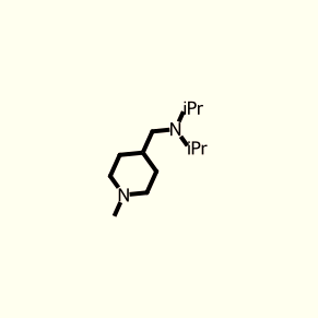 CC(C)N(CC1CCN(C)CC1)C(C)C